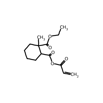 C=CC(=O)OC(=O)C1CCCCC1(C)C(=O)OCC